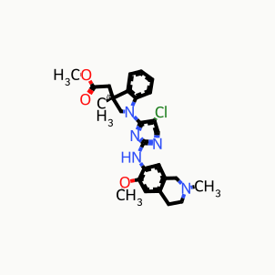 COC(=O)C[C@@]1(C)CN(c2nc(Nc3cc4c(cc3OC)CCN(C)C4)ncc2Cl)c2ccccc21